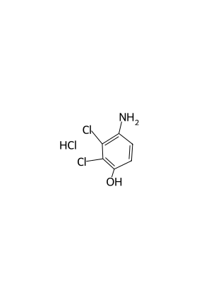 Cl.Nc1ccc(O)c(Cl)c1Cl